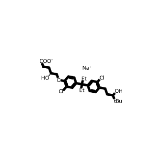 CCC(CC)(c1ccc(CCC(O)C(C)(C)C)c(Cl)c1)c1ccc(OC[C@H](O)CCC(=O)[O-])c(Cl)c1.[Na+]